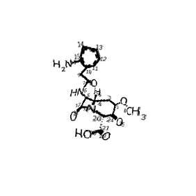 CO[C@@H]1C[C@H]2[C@H](NC(=O)Cc3ccccc3N)C(=O)N2[C@@H](C(=O)O)C1=O